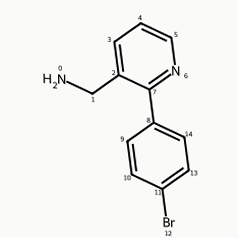 NCc1cccnc1-c1ccc(Br)cc1